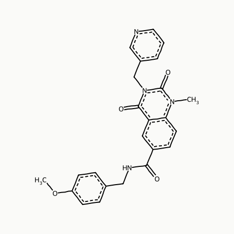 COc1ccc(CNC(=O)c2ccc3c(c2)c(=O)n(Cc2cccnc2)c(=O)n3C)cc1